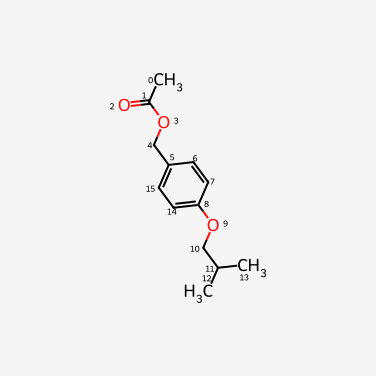 CC(=O)OCc1ccc(OCC(C)C)cc1